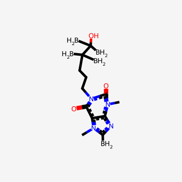 Bc1nc2c(c(=O)n(CCCC(B)(B)C(B)(B)O)c(=O)n2C)n1C